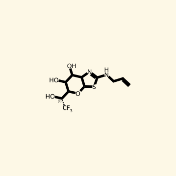 C=CCNC1=NC2C(OC([C@@H](O)C(F)(F)F)C(O)C2O)S1